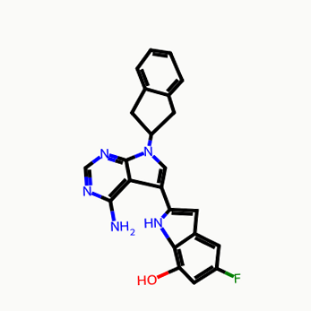 Nc1ncnc2c1c(-c1cc3cc(F)cc(O)c3[nH]1)cn2C1Cc2ccccc2C1